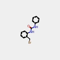 O=C(Nc1ccccc1)Nc1ccccc1CBr